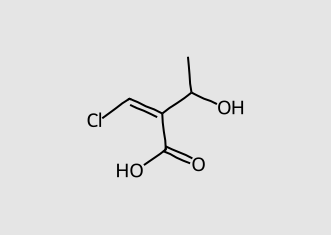 CC(O)C(=CCl)C(=O)O